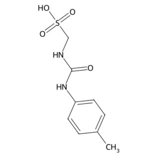 Cc1ccc(NC(=O)NCS(=O)(=O)O)cc1